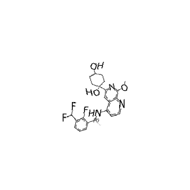 COc1nc(C2(O)CCC(O)CC2)cc2c(N[C@H](C)c3cccc(C(F)F)c3F)ccnc12